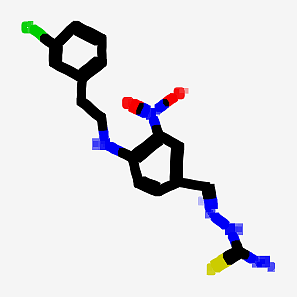 NC(=S)N/N=C/c1ccc(NCCc2cccc(Cl)c2)c([N+](=O)[O-])c1